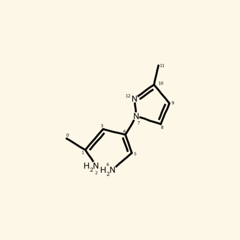 C/C(N)=C/C(=C\N)n1ccc(C)n1